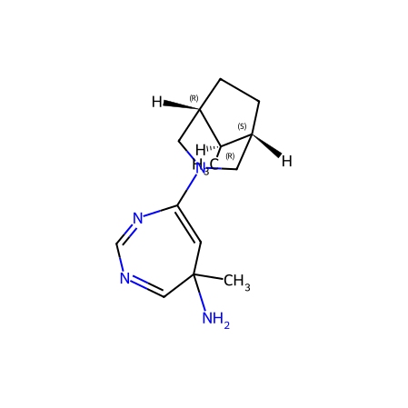 C[C@@H]1[C@@H]2CC[C@H]1CN(C1=CC(C)(N)C=NC=N1)C2